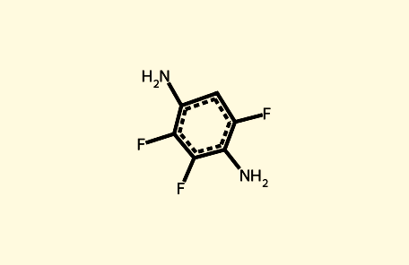 Nc1cc(F)c(N)c(F)c1F